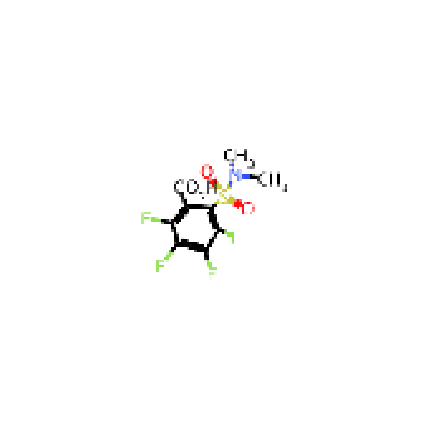 CN(C)S(=O)(=O)c1c(F)c(F)c(F)c(F)c1C(=O)O